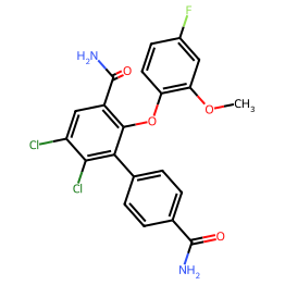 COc1cc(F)ccc1Oc1c(C(N)=O)cc(Cl)c(Cl)c1-c1ccc(C(N)=O)cc1